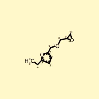 CCc1ccc(COCC2CO2)o1